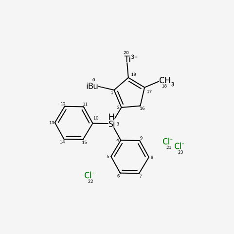 CCC(C)C1=C([SiH](c2ccccc2)c2ccccc2)CC(C)=[C]1[Ti+3].[Cl-].[Cl-].[Cl-]